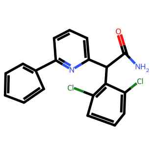 NC(=O)C(c1cccc(-c2ccccc2)n1)c1c(Cl)cccc1Cl